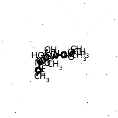 CO[C@@H]1[C@@H](n2cc(-c3ccc(C)c(F)c3F)nn2)[C@@H](O)[C@@H](CO)O[C@@H]1CC1CC(C2CCN(C(=O)OC(C)(C)C)CC2)=NO1